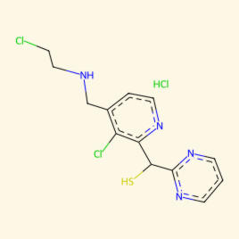 Cl.SC(c1ncccn1)c1nccc(CNCCCl)c1Cl